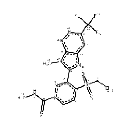 CCS(=O)(=O)c1ccc(C(=O)NC)nc1-c1nc2cc(C(F)(F)F)nnc2n1C